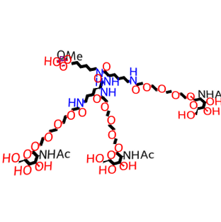 COP(=O)(O)OCCCCCCNC(=O)C(CCCCNC(=O)COCCOCCOCCO[C@@H]1O[C@H](CO)[C@H](O)[C@H](O)[C@H]1NC(C)=O)NC(=O)[C@H](CCCCNC(=O)COCCOCCOCCO[C@@H]1O[C@H](CO)[C@H](O)[C@H](O)[C@H]1NC(C)=O)NC(=O)COCCOCCOCCO[C@@H]1O[C@H](CO)[C@H](O)[C@H](O)[C@H]1NC(C)=O